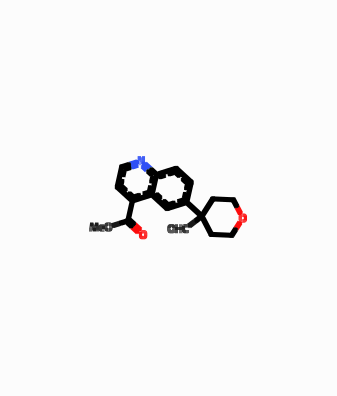 COC(=O)c1ccnc2ccc(C3(C=O)CCOCC3)cc12